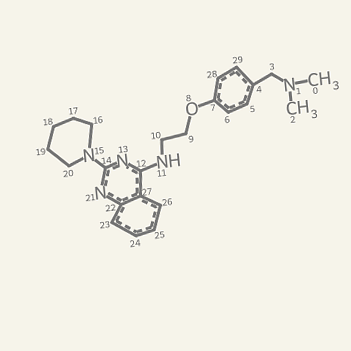 CN(C)Cc1ccc(OCCNc2nc(N3CCCCC3)nc3ccccc23)cc1